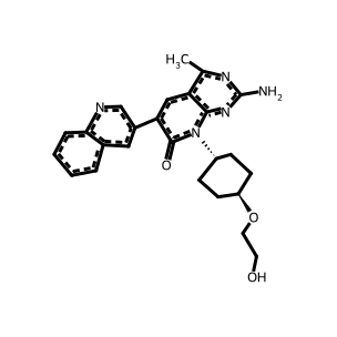 Cc1nc(N)nc2c1cc(-c1cnc3ccccc3c1)c(=O)n2[C@H]1CC[C@H](OCCO)CC1